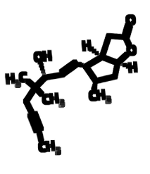 CC#CCC(C)(C)[C@H](O)/C=C/[C@@H]1[C@H]2CC(=O)O[C@H]2C[C@H]1C